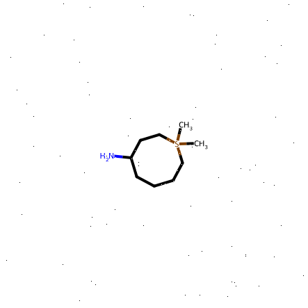 CS1(C)CCCCC(N)CC1